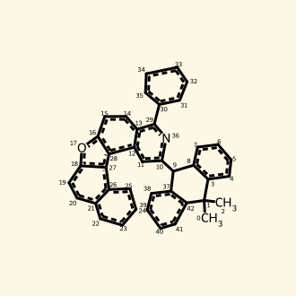 CC1(C)c2ccccc2C(c2cc3c(ccc4oc5ccc6ccccc6c5c43)c(-c3ccccc3)n2)c2ccccc21